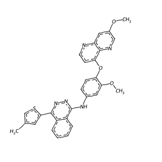 COc1cnc2c(Oc3ccc(Nc4nnc(-c5cc(C)cs5)c5ccccc45)cc3OC)ccnc2c1